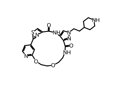 O=C1Nc2cn(CCC3CCNCC3)nc2C(=O)NCCOCCOc2cc(ccn2)-c2nc1cs2